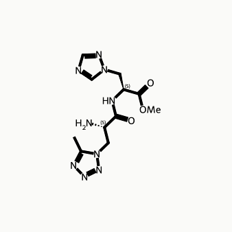 COC(=O)[C@H](Cn1cncn1)NC(=O)[C@@H](N)Cn1nnnc1C